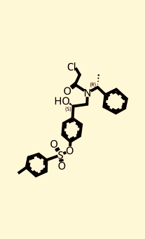 Cc1ccc(S(=O)(=O)Oc2ccc([C@H](O)CN(C(=O)CCl)[C@H](C)c3ccccc3)cc2)cc1